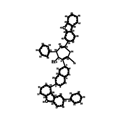 CCC1C(c2ccc3ccc(-c4cccc5oc6ccc(-c7ccccc7)cc6c45)cc3c2)=C(C)CC(c2ccc3c(c2)oc2ccccc23)=NC1c1ccccc1